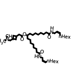 CCCCCC/C=C\CNC(=O)CCCCCCCC(CCCCCCCC(=O)NC/C=C\CCCCCC)OC(=O)CC1CC(CN(C)C)C1